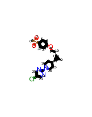 CS(=O)(=O)c1ccc(OCC[C@@H]2C[C@@H]2C2CCN(c3ncc(Cl)cn3)CC2)cc1